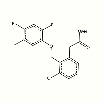 CCc1cc(F)c(OCc2c(Cl)cccc2CC(=O)OC)cc1C